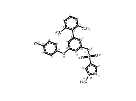 Cc1cccc(C)c1-c1cc(Oc2ccc(Cl)nc2)nc(NS(=O)(=O)c2cnn(C)c2)n1